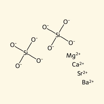 [Ba+2].[Ca+2].[Mg+2].[O-][Si]([O-])([O-])[O-].[O-][Si]([O-])([O-])[O-].[Sr+2]